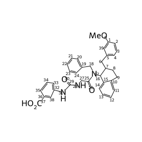 COc1cccc(CC2CCc3ccccc3C2N(Cc2ccccc2)C(=O)CNC(=O)Nc2cccc(C(=O)O)c2)c1